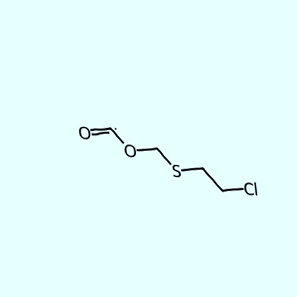 O=[C]OCSCCCl